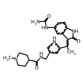 CC(=C1C(=O)Nc2ccc(NC(N)=O)cc21)c1cc(CNC(=O)C2CCN(C)CC2)c[nH]1